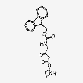 O=C(CNC(=O)OCC1c2ccccc2-c2ccccc21)CC(=O)OC1CCN1